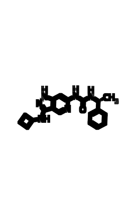 C[C@@H](NC(=O)Nc1cc2[nH]nc(NC3CCC3)c2cn1)c1ccccc1